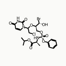 CC(C)OC(=O)[C@H](C)NP(=O)(OC[C@@H](OC(CCl)n1ccc(=O)[nH]c1=O)[C@@H](O)Br)Oc1ccccc1